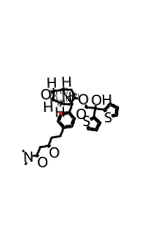 CN(C)C(=O)CC(=O)CCc1ccc(C[N@+]2(C)[C@@H]3C[C@@H](OC(=O)C(O)(c4cccs4)c4cccs4)C[C@H]2[C@@H]2O[C@@H]23)cc1